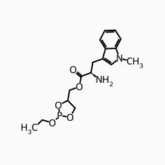 CCOP1OCC(COC(=O)[C@H](N)Cc2cn(C)c3ccccc23)O1